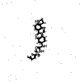 Cc1ccc(S(=O)(=O)NC(=O)Nc2ccc(-n3cnc4c5c(ccc4c3=O)NCC5)c(F)c2)s1